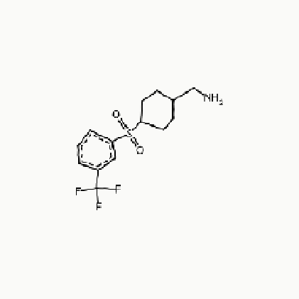 NCC1CCC(S(=O)(=O)c2cccc(C(F)(F)F)c2)CC1